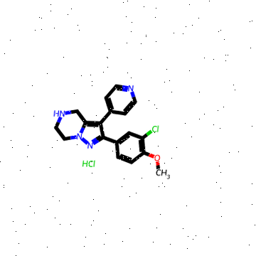 COc1ccc(-c2nn3c(c2-c2ccncc2)CNCC3)cc1Cl.Cl